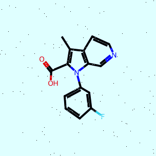 Cc1c(C(=O)O)n(-c2cccc(F)c2)c2cnccc12